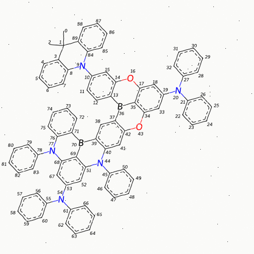 CC1(C)c2ccccc2N(c2ccc3c(c2)Oc2cc(N(c4ccccc4)c4ccccc4)cc4c2B3c2cc3c(cc2O4)N(c2ccccc2)c2cc(N(c4ccccc4)c4ccccc4)cc4c2B3c2ccccc2N4c2ccccc2)c2ccccc21